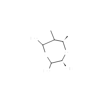 CC1C(O)CC(O)[C@H](O)O[C@@H]1C